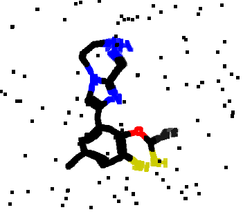 CCC(S)Oc1c(S)cc(C)cc1-c1cn2c(n1)CNCC2